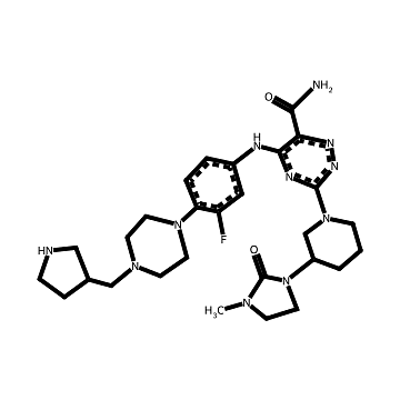 CN1CCN(C2CCCN(c3nnc(C(N)=O)c(Nc4ccc(N5CCN(CC6CCNC6)CC5)c(F)c4)n3)C2)C1=O